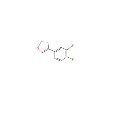 Fc1ccc(C2=COCC2)cc1F